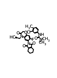 C#CCN1C(=O)COc2cc(F)c(N3C(=O)C4=C(CCCC4)C3=O)cc21.Cc1ccc(NC(=O)N(C)C)cc1Cl